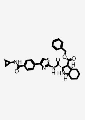 O=C(NC1CC1)c1ccc(-c2csc(NC(=O)[C@H]3N[C@H]4CCCC[C@H]4C3C(=O)OCc3ccccc3)n2)cc1